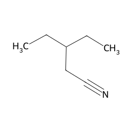 CCC(CC)CC#N